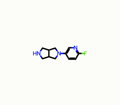 Fc1ccc(N2CC3CNCC3C2)cn1